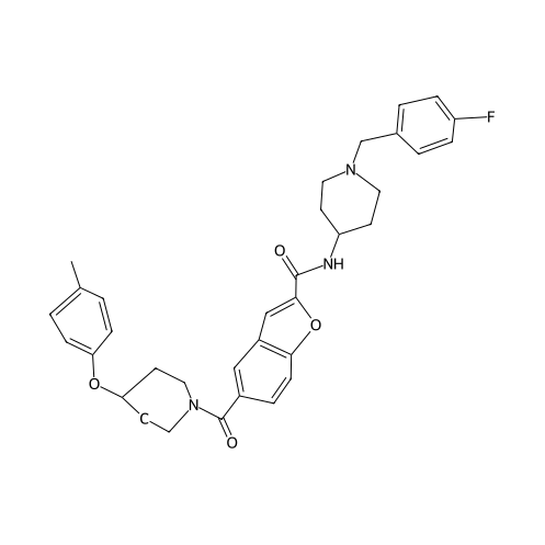 Cc1ccc(OC2CCN(C(=O)c3ccc4oc(C(=O)NC5CCN(Cc6ccc(F)cc6)CC5)cc4c3)CC2)cc1